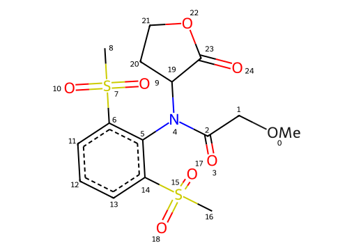 COCC(=O)N(c1c(S(C)(=O)=O)cccc1S(C)(=O)=O)C1CCOC1=O